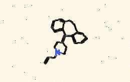 C=CCN1CCC(=C2c3ccccc3CCc3ccccc32)CC1